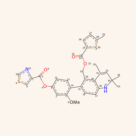 COc1cc(OC(=O)c2cscn2)ccc1-c1ccc2c(c1COC(=O)c1ccc(C)s1)C(C)=CC(C)(C)N2